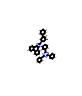 c1ccc(-c2nc(-c3ccccc3)nc(-c3cccc(-n4c(-c5ccc6sc7ccccc7c6c5)nc5c6ccccc6c6ccccc6c54)c3)n2)cc1